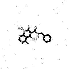 Cc1ncnc2c1c(O)c(C(=O)NCc1ccccc1)c(=O)n2O